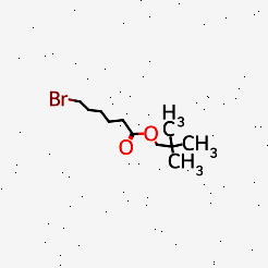 CC(C)(C)COC(=O)CCCCCBr